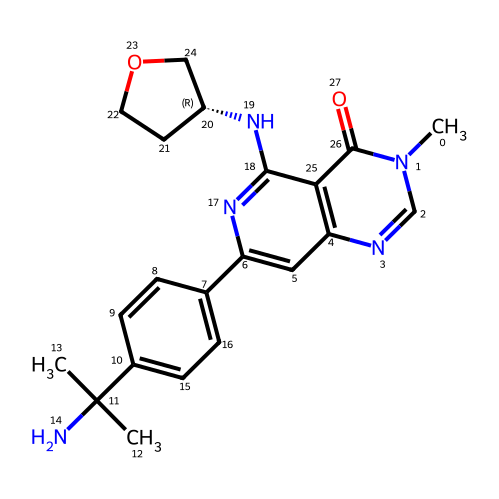 Cn1cnc2cc(-c3ccc(C(C)(C)N)cc3)nc(N[C@@H]3CCOC3)c2c1=O